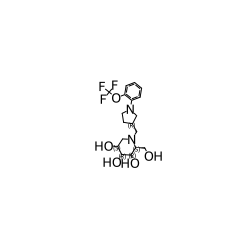 OC[C@H]1[C@@H](O)[C@H](O)[C@@H](O)CN1C[C@H]1CCN(c2ccccc2OC(F)(F)F)C1